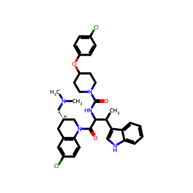 CC(c1c[nH]c2ccccc12)C(NC(=O)N1CCC(Oc2ccc(Cl)cc2)CC1)C(=O)N1C[C@@H](CN(C)C)Cc2cc(Cl)ccc21